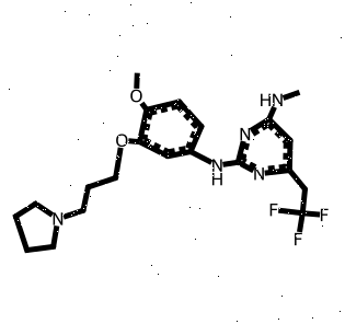 CNc1cc(CC(F)(F)F)nc(Nc2ccc(OC)c(OCCCN3CCCC3)c2)n1